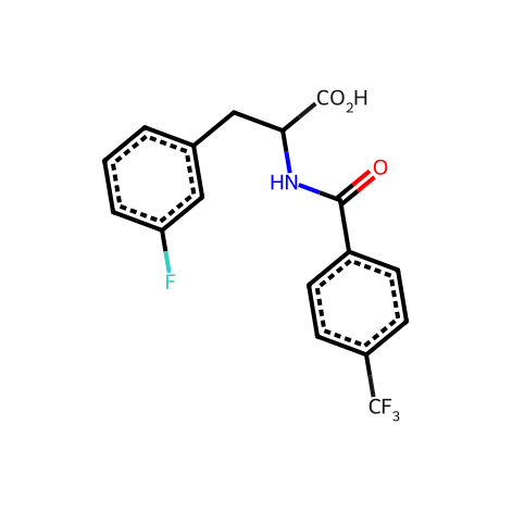 O=C(NC(Cc1cccc(F)c1)C(=O)O)c1ccc(C(F)(F)F)cc1